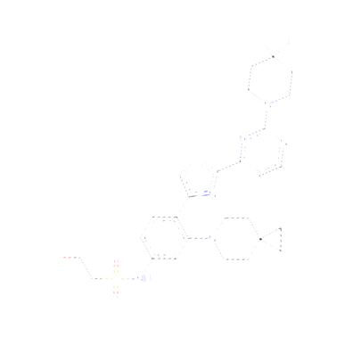 Cc1cc(-c2nc(-c3ccc(NS(=O)(=O)CCO)cc3N3CCC4(CC3)CC4)co2)nc(N2CCC(F)(F)CC2)n1